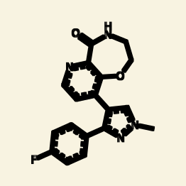 Cn1cc(-c2ccnc3c2OCCNC3=O)c(-c2ccc(F)cc2)n1